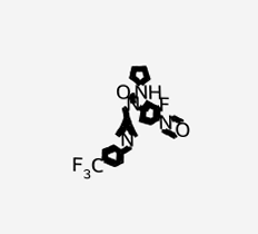 O=C(NC1CCCC1)N(CC1c2cn(Cc3ccc(C(F)(F)F)cc3)cc21)c1ccc(N2CCOCC2)c(F)c1